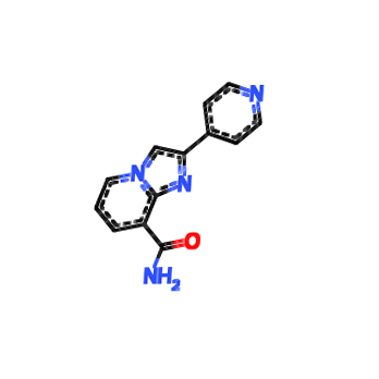 NC(=O)c1cccn2cc(-c3ccncc3)nc12